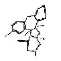 CN1CC(=O)N2[C@@H](C[C@@H]3c4ccccc4Cc4ccc(F)cc4[C@H]32)C1